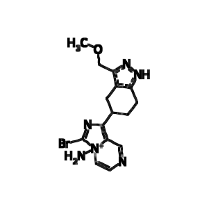 COCc1n[nH]c2c1CC(C1=C3C=NC=C[N+]3(N)C(Br)=N1)CC2